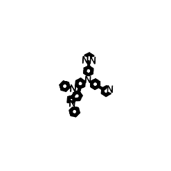 c1ccc(-n2ccc3c2ccc2c4cc(N(c5ccc(-c6cccnc6)cc5)c5ccc(-c6ncccn6)cc5)ccc4n(-c4ccccc4)c23)cc1